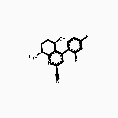 C[C@H]1CC[C@@H](O)c2c(-c3ccc(F)cc3F)cc(C#N)nc21